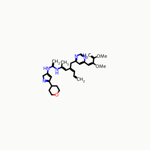 C=C/C=C(\C=C(/C)NC(=C)NC1=CC(C2CCOCC2)=NC1)Cc1cc(/C=C(/OC)C(=C)OC)ncn1